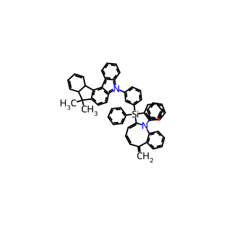 C=C1/C=C\C=C(\[Si](C2=CC=CCC2)(c2ccccc2)c2cccc(-n3c4ccccc4c4c5c(ccc43)C(C)(C)C3C=CC=CC53)c2)N(c2ccccc2)c2ccccc21